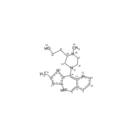 Cc1nc2c(s1)NC=c1cccnc1=C2N1CCN(C)C(CCO)C1